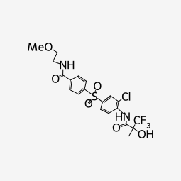 COCCNC(=O)c1ccc(S(=O)(=O)c2ccc(NC(=O)C(C)(O)C(F)(F)F)c(Cl)c2)cc1